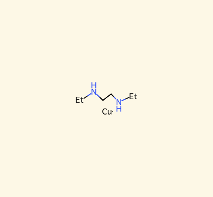 CCNCCNCC.[Cu]